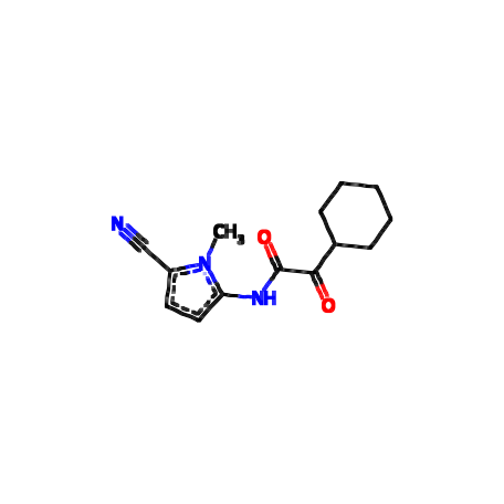 Cn1c(C#N)ccc1NC(=O)C(=O)C1CCCCC1